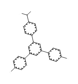 CC(C)c1ccc(-c2cc(-c3ccc(N)cc3)cc(-c3ccc(N)cc3)c2)cc1